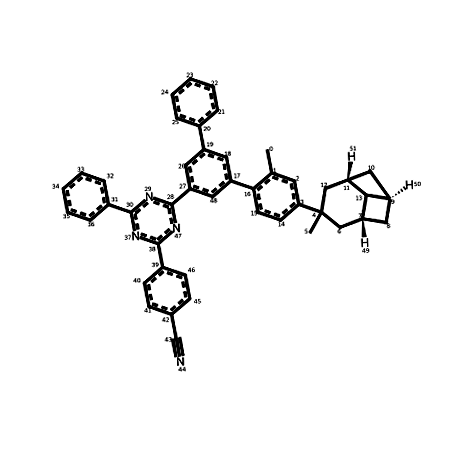 Cc1cc(C2(C)C[C@H]3C[C@@H]4C[C@@H](C2)C43)ccc1-c1cc(-c2ccccc2)cc(-c2nc(-c3ccccc3)nc(-c3ccc(C#N)cc3)n2)c1